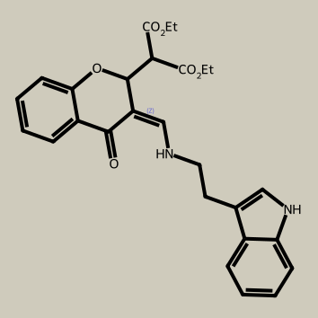 CCOC(=O)C(C(=O)OCC)C1Oc2ccccc2C(=O)/C1=C\NCCc1c[nH]c2ccccc12